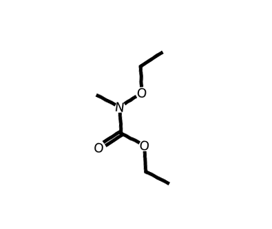 CCOC(=O)N(C)OCC